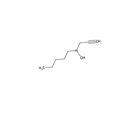 C#CCN(O)CCCCC